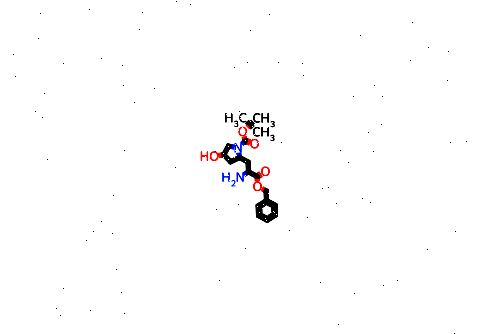 CC(C)(C)OC(=O)N1CC(O)CC1CC(N)C(=O)OCc1ccccc1